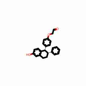 O=CCOc1ccc([C@H]2c3ccc(O)cc3CC[C@H]2c2ccccc2)cc1